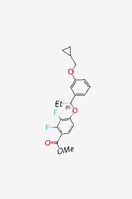 CC[C@@H](Oc1ccc(C(=O)OC)c(F)c1F)c1cccc(OCC2CC2)c1